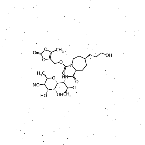 Cc1oc(=O)oc1COC(=O)N1CC[C@@H](CCCO)CC[C@H]1C(=O)N[C@@H]([C@H]1O[C@H](C)[C@H](O)[C@@H](O)[C@H]1O)[C@H](C)Cl